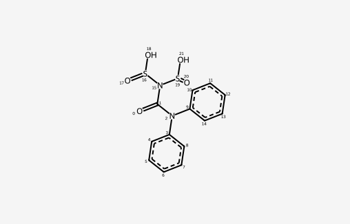 O=C(N(c1ccccc1)c1ccccc1)N(S(=O)O)S(=O)O